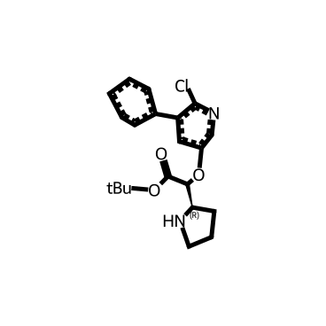 CC(C)(C)OC(=O)C(Oc1cnc(Cl)c(-c2ccccc2)c1)[C@H]1CCCN1